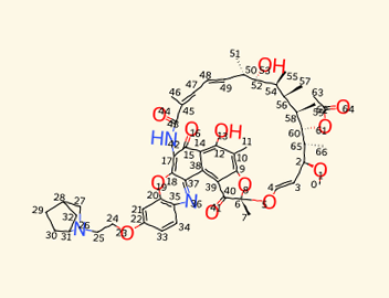 CO[C@H]1/C=C/O[C@@]2(C)Oc3c(C)c(O)c4c(=O)c(c5oc6cc(OCCN7CC8CCC7C8)ccc6nc-5c4c3C2=O)NC(=O)/C(C)=C\C=C\[C@H](C)[C@H](O)[C@@H](C)[C@@H](C)[C@@H](C)[C@H](OC(C)=O)[C@@H]1C